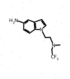 CN(CCn1ccc2cc(N)ccc21)CC(F)(F)F